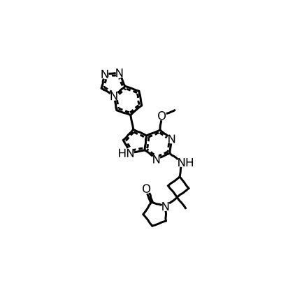 COc1nc(NC2CC(C)(N3CCCC3=O)C2)nc2[nH]cc(-c3ccc4nncn4c3)c12